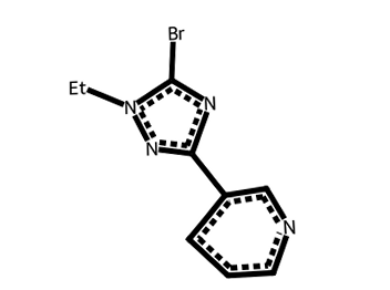 CCn1nc(-c2cccnc2)nc1Br